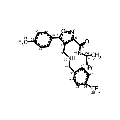 CC(C)[C@H](C)NC(=O)c1noc(-c2ccc(C(F)(F)F)cc2)c1CNCc1ccc(C(F)(F)F)cc1